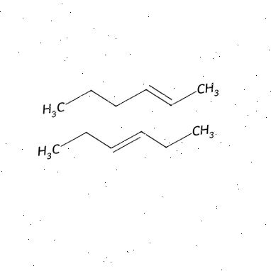 CC=CCCC.CCC=CCC